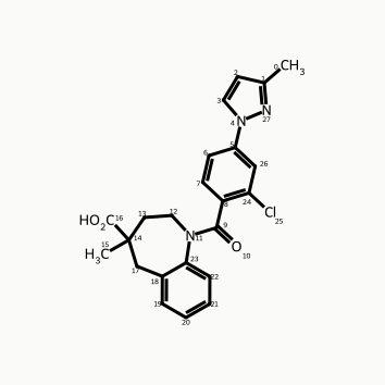 Cc1ccn(-c2ccc(C(=O)N3CCC(C)(C(=O)O)Cc4ccccc43)c(Cl)c2)n1